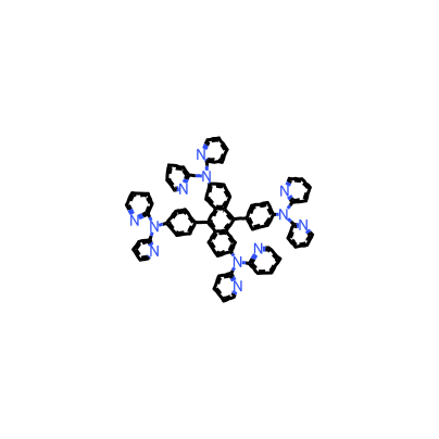 c1ccc(N(c2ccc(-c3c4ccc(N(c5ccccn5)c5ccccn5)cc4c(-c4ccc(N(c5ccccn5)c5ccccn5)cc4)c4ccc(N(c5ccccn5)c5ccccn5)cc34)cc2)c2ccccn2)nc1